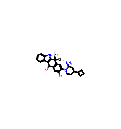 CCc1cc2c(cc1N1CCC(C3CCC3)CC1N)C(C)(C)c1[nH]c3ccccc3c1C2=O